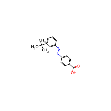 CC(C)(C)c1cccc(N=Nc2ccc(C(=O)O)cc2)c1